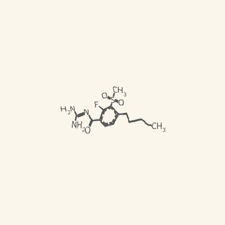 CCCCCc1ccc(C(=O)N=C(N)N)c(F)c1S(C)(=O)=O